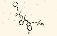 CS(=O)(=O)CCCn1c(CN2C(=O)C3(CN(C(=O)NCCN4CCOCC4)C3)c3ccccc32)cc2cc(Cl)ccc21